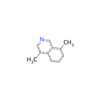 Cc1cncc2c(C)cccc12